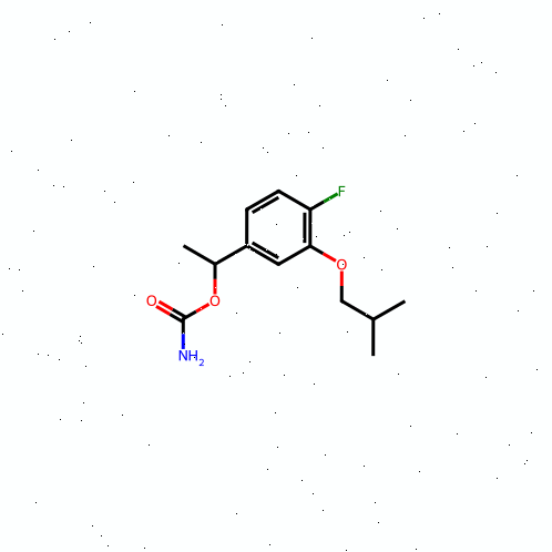 CC(C)COc1cc(C(C)OC(N)=O)ccc1F